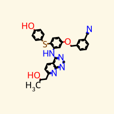 CC(O)Cc1ccc2c(Nc3cc(OCc4cccc(C#N)c4)ccc3Sc3ccc(O)cc3)ncnc2n1